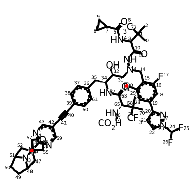 CC(C)(C(NC(=O)C1CC1)C(=O)NN(Cc1c(F)cc(-c2ccn(C(F)F)n2)cc1F)C[C@H](O)[C@H](Cc1ccc(C#Cc2cnc(N3CC4CCC(C3)N4C3COC3)nc2)cc1)NC(=O)[C@@H](NC(=O)O)C(C)(C)C(F)(F)F)C(F)(F)F